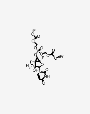 CC(C)OC(=O)OCOP(=O)(OCOC(=O)OC(C)C)OC1[C@]2(F)[C@@](C)(O)[C@H](n3ccc(=O)[nH]c3=O)O[C@]12F